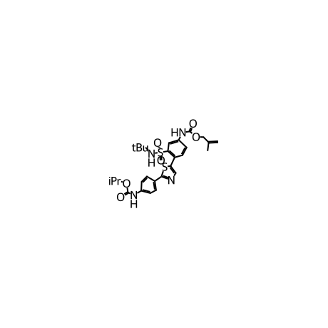 C=C(C)COC(=O)Nc1ccc(-c2cnc(-c3ccc(NC(=O)OC(C)C)cc3)s2)c(S(=O)(=O)NC(C)(C)C)c1